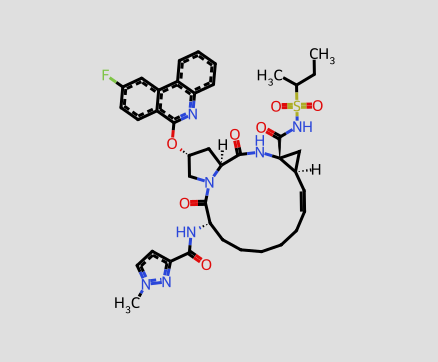 CCC(C)S(=O)(=O)NC(=O)[C@@]12C[C@H]1/C=C\CCCCC[C@H](NC(=O)c1ccn(C)n1)C(=O)N1C[C@H](Oc3nc4ccccc4c4cc(F)ccc34)C[C@H]1C(=O)N2